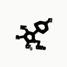 COCn1c(-c2ccc(Cl)cc2)c(C#N)c(Br)c1C(F)(F)F